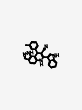 Cc1cccc(C2C(C#N)=C(c3c[nH]c4ccccc34)Nc3ccc4cn[nH]c4c32)c1